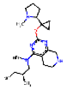 CCCN(C[C@@H](C)CC#N)c1nc(OC2([C@@H]3CCCN3C)CC2)nc2c1CCNC2